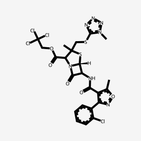 Cc1onc(-c2ccccc2Cl)c1C(=O)NC1C(=O)N2C(C(=O)OCC(Cl)(Cl)Cl)C(C)(CSc3nnnn3C)S[C@H]12